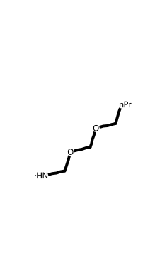 CCCCOCOC[NH]